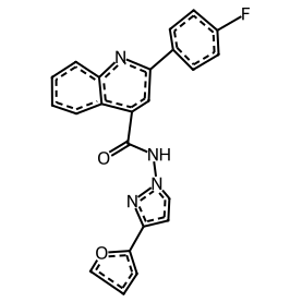 O=C(Nn1ccc(-c2ccco2)n1)c1cc(-c2ccc(F)cc2)nc2ccccc12